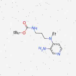 CCN(CCCNC(=O)OC(C)(C)C)c1ccncc1N